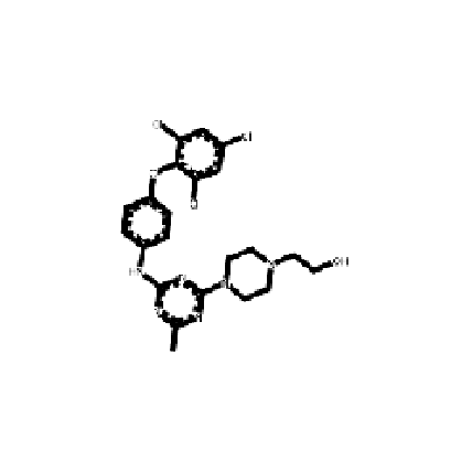 Cc1nc(Nc2ccc(Oc3c(Cl)cc(Cl)cc3Cl)cc2)nc(N2CCN(CCO)CC2)n1